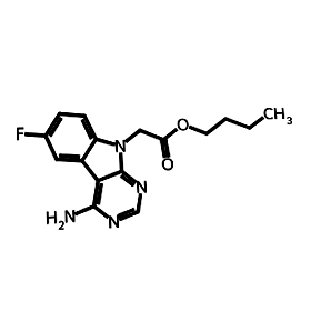 CCCCOC(=O)Cn1c2ccc(F)cc2c2c(N)ncnc21